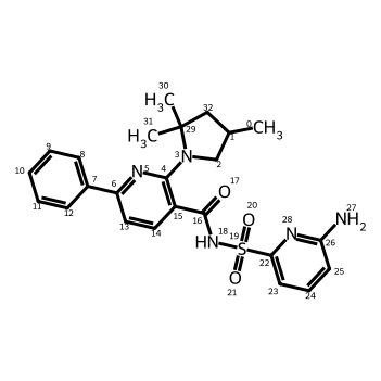 CC1CN(c2nc(-c3ccccc3)ccc2C(=O)NS(=O)(=O)c2cccc(N)n2)C(C)(C)C1